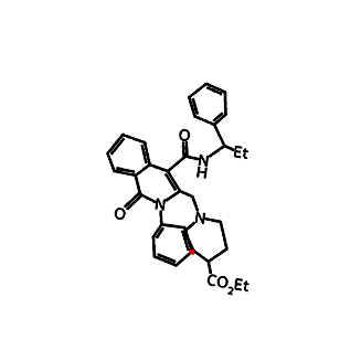 CCOC(=O)C1CCN(Cc2c(C(=O)NC(CC)c3ccccc3)c3ccccc3c(=O)n2-c2ccccc2)CC1